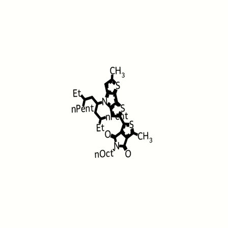 CCCCCCCCN1C(=O)c2c(C)sc(-c3cc4c(s3)c3sc(C)cc3n4C(CC(CC)CCCCC)CC(CC)CCCCC)c2C1=O